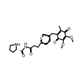 COC1=C(OC)C(=O)C(Cc2ccc(CCC(=O)NC(=O)[C@@H]3CCCN3)cc2)=C(C)C1=O